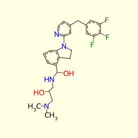 CN(C)CC(O)CNC(O)c1cccc2c1CCN2c1cc(Cc2cc(F)c(F)c(F)c2)ccn1